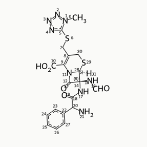 Cn1nnnc1SCC1=C(C(=O)O)N2C(=O)[C@@](NC=O)(NC(=O)C(N)c3ccccc3)[C@@H]2SC1